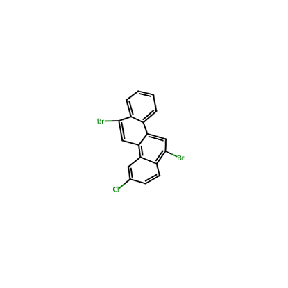 Clc1ccc2c(Br)cc3c4ccccc4c(Br)cc3c2c1